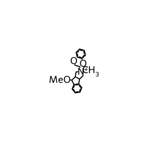 COC1c2ccccc2C2C[N@@+](C)(C3COc4ccccc4O3)CC21